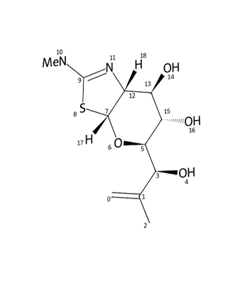 C=C(C)[C@H](O)[C@H]1O[C@@H]2SC(NC)=N[C@@H]2[C@@H](O)[C@@H]1O